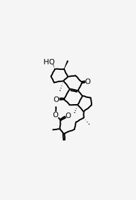 C=C(CC[C@@H](C)C1CCC2C3=C(C(=O)C[C@@]21C)[C@@]1(C)CC[C@H](O)[C@@H](C)C1CC3=O)C(C)C(=O)OC